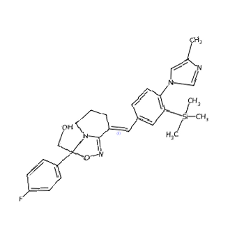 Cc1cn(-c2ccc(/C=C3\CCCN4C3=NOC4(CO)c3ccc(F)cc3)cc2[Si](C)(C)C)cn1